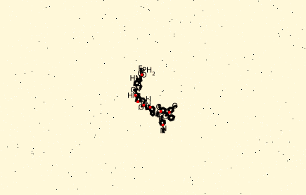 CN=Nc1ccc(N(COC(c2ccccc2)(c2ccc(OC)cc2)c2ccc(OC)cc2)CC(=O)N2CCc3c2ccc2[nH]c(C(=O)N4CCc5c4ccc4[nH]c(C(=O)N6CCc7c6ccc6[nH]c(C(=O)OP(F)P)cc76)cc54)cc32)cc1